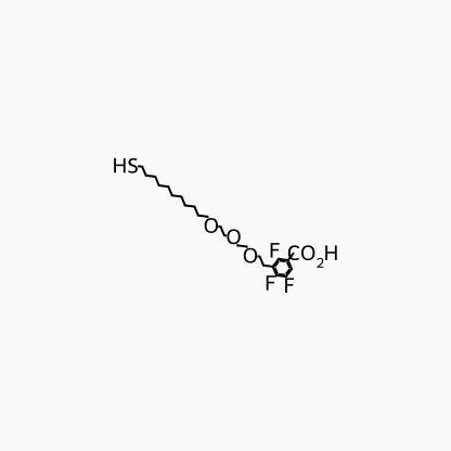 O=C(O)c1cc(F)c(F)c(CCOCCOCCOCCCCCCCCCCCS)c1F